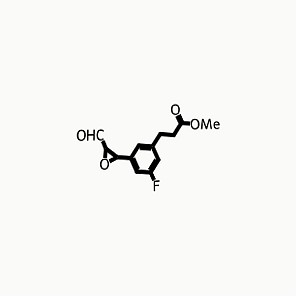 COC(=O)CCc1cc(F)cc(C2OC2C=O)c1